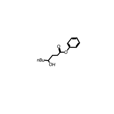 CCCCC(O)CCC(=O)Oc1ccccc1